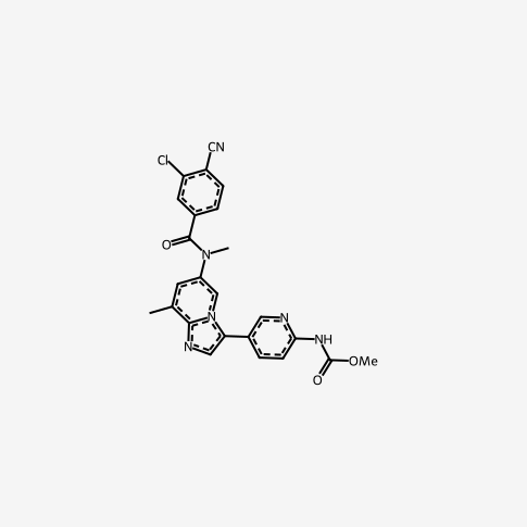 COC(=O)Nc1ccc(-c2cnc3c(C)cc(N(C)C(=O)c4ccc(C#N)c(Cl)c4)cn23)cn1